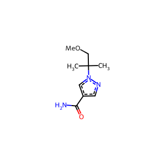 COCC(C)(C)n1cc(C(N)=O)cn1